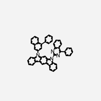 c1ccc(-c2cc(-n3c4ccccc4c4cc5c6ccccc6n(-c6nc(-c7ccccc7)c7ccccc7n6)c5cc43)cc3ccccc23)cc1